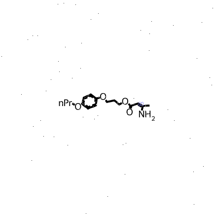 CCCOc1ccc(OCCCOC(=O)/C=C(/C)N)cc1